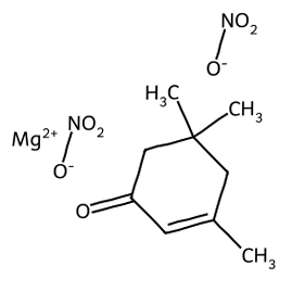 CC1=CC(=O)CC(C)(C)C1.O=[N+]([O-])[O-].O=[N+]([O-])[O-].[Mg+2]